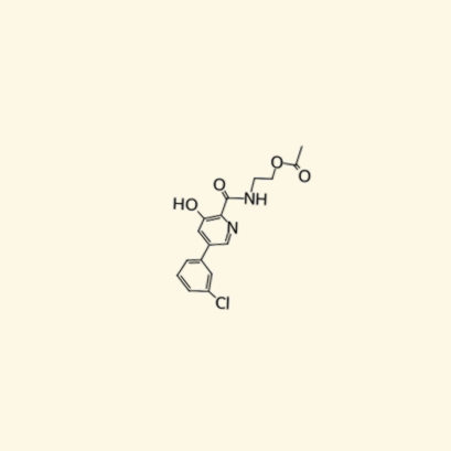 CC(=O)OCCNC(=O)c1ncc(-c2cccc(Cl)c2)cc1O